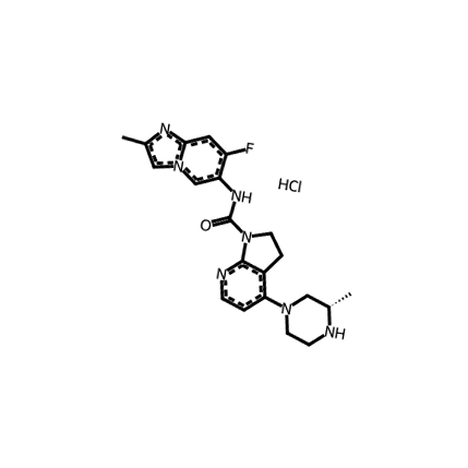 Cc1cn2cc(NC(=O)N3CCc4c(N5CCN[C@@H](C)C5)ccnc43)c(F)cc2n1.Cl